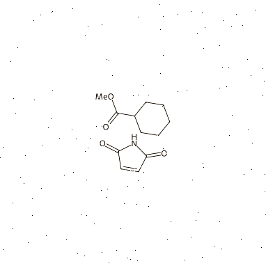 COC(=O)C1CCCCC1.O=C1C=CC(=O)N1